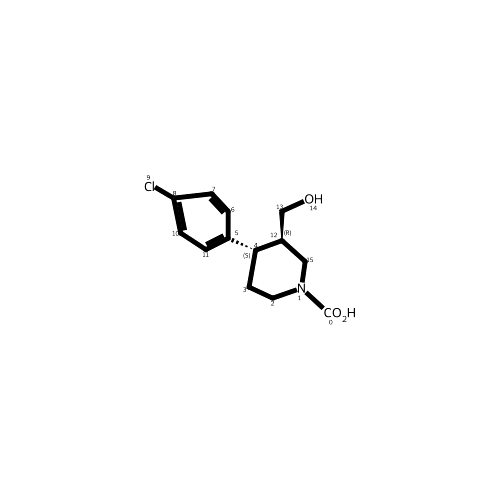 O=C(O)N1CC[C@H](c2ccc(Cl)cc2)[C@@H](CO)C1